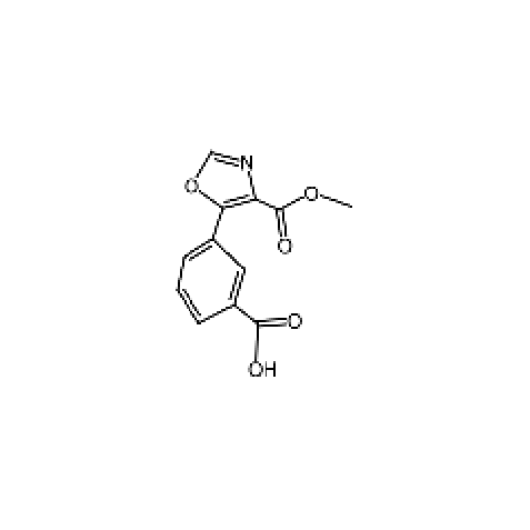 COC(=O)c1ncoc1-c1cccc(C(=O)O)c1